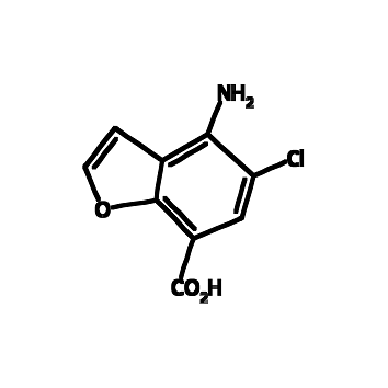 Nc1c(Cl)cc(C(=O)O)c2occc12